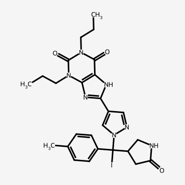 CCCn1c(=O)c2[nH]c(-c3cnn(C(I)(c4ccc(C)cc4)C4CNC(=O)C4)c3)nc2n(CCC)c1=O